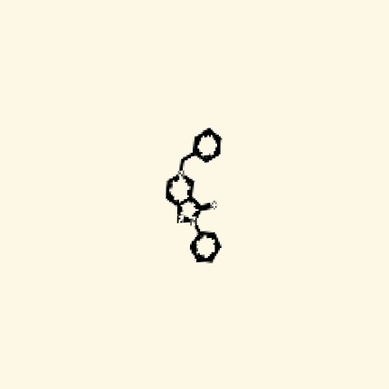 O=c1c2cn(Cc3ccccc3)ccc-2nn1-c1ccccc1